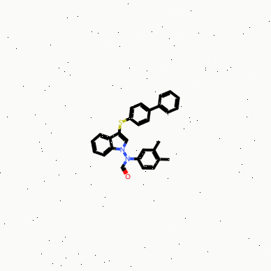 Cc1ccc(N(C=O)n2cc(Sc3ccc(-c4ccccc4)cc3)c3ccccc32)cc1C